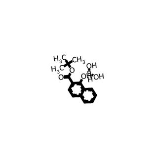 CC(C)(C)OC(=O)c1ccc2ccccc2c1O.OBO